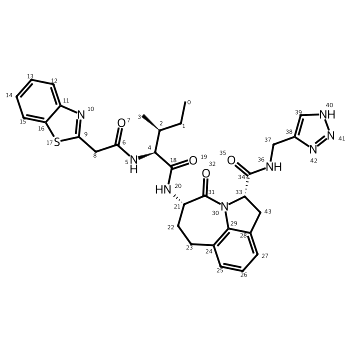 CC[C@H](C)[C@H](NC(=O)Cc1nc2ccccc2s1)C(=O)N[C@H]1CCc2cccc3c2N(C1=O)[C@H](C(=O)NCc1c[nH]nn1)C3